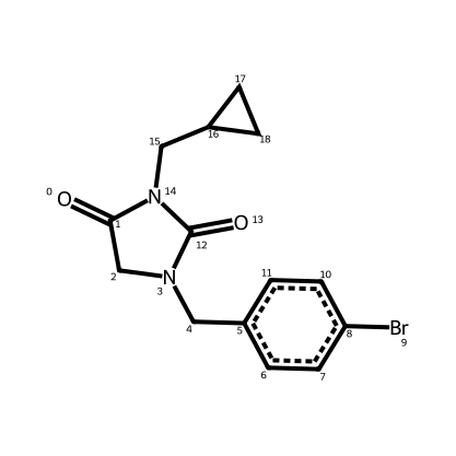 O=C1CN(Cc2ccc(Br)cc2)C(=O)N1CC1CC1